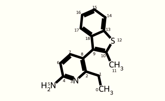 CCc1nc(N)ccc1-c1c(C)sc2ccccc12